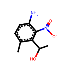 Cc1ccc(N)c([N+](=O)[O-])c1C(C)O